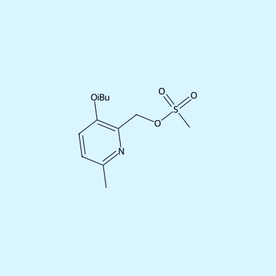 Cc1ccc(OCC(C)C)c(COS(C)(=O)=O)n1